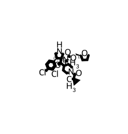 CN(C(=O)OC[C@@H]1CCCO1)[C@@]1(C(=O)C2CCN(C(=O)C3(C)CC3)CC2)CNC[C@@H]1c1ccc(Cl)c(Cl)c1